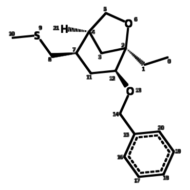 CC[C@]12C[C@H](CO1)[C@H](CSC)C[C@@H]2OCc1ccccc1